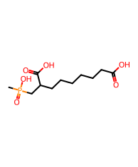 CP(=O)(O)CC(CCCCCCC(=O)O)C(=O)O